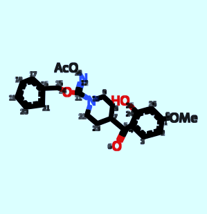 COc1ccc(C(=O)C2CCN(C(=NOC(C)=O)OCc3ccccc3)CC2)c(O)c1